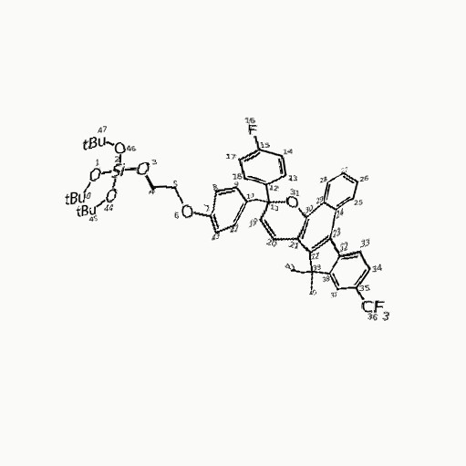 CC(C)(C)O[Si](OCCOc1ccc(C2(c3ccc(F)cc3)C=Cc3c4c(c5ccccc5c3O2)-c2ccc(C(F)(F)F)cc2C4(C)C)cc1)(OC(C)(C)C)OC(C)(C)C